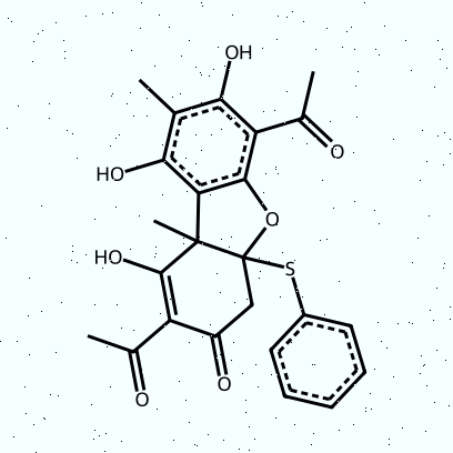 CC(=O)C1=C(O)C2(C)c3c(O)c(C)c(O)c(C(C)=O)c3OC2(Sc2ccccc2)CC1=O